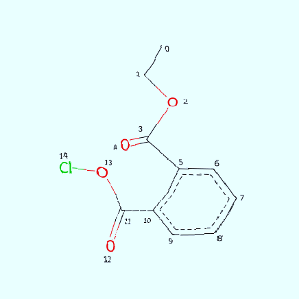 CCOC(=O)c1ccccc1C(=O)OCl